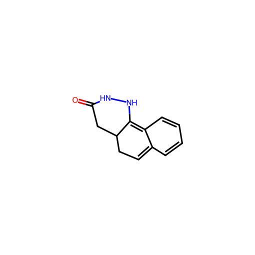 O=C1CC2CC=c3ccccc3=C2NN1